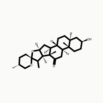 CC1[C@H]2[C@H](C[C@H]3[C@@H]4CC[C@H]5C[C@@H](O)CC[C@]5(C)[C@H]4CC(=O)[C@@]32C)O[C@]12CC[C@@H](C)CO2